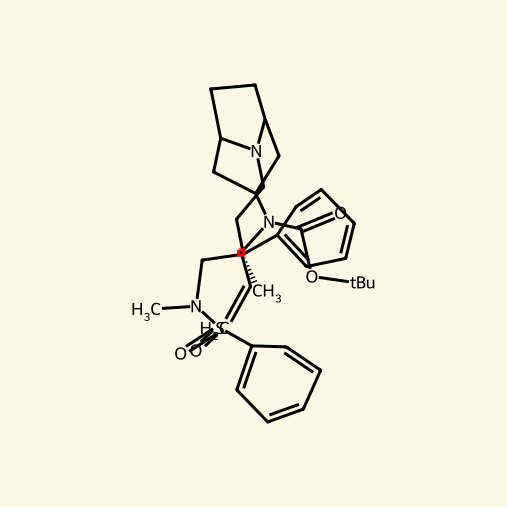 C=CCN(C(=O)OC(C)(C)C)C1CC2CCC(C1)N2CC[C@](C)(CN(C)S(=O)(=O)c1ccccc1)c1ccccc1